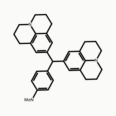 CNc1ccc(C(c2cc3c4c(c2)CCCN4CCC3)c2cc3c4c(c2)CCCN4CCC3)cc1